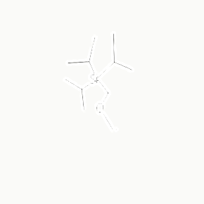 [CH2]OC[Si](C(C)C)(C(C)C)C(C)C